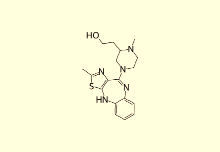 Cc1nc2c(s1)Nc1ccccc1N=C2N1CCN(C)C(CCO)C1